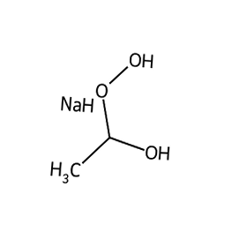 CC(O)OO.[NaH]